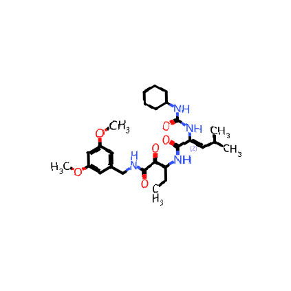 CCC(NC(=O)/C(=C/C(C)C)NC(=O)NC1CCCCC1)C(=O)C(=O)NCc1cc(OC)cc(OC)c1